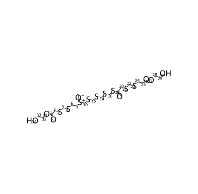 O=C(CSCSCC[S+]([O-])CSCSCSCSC(=O)CSCSCCOOCCO)OCCO